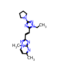 CCn1nc(N2CCCC2)nc1C=CC1=N[N+]2(C)C=CC(C)=NC2=N1